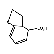 O=C(O)C1C=CC=C2SCCC21